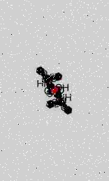 O=S(=O)(O)c1cc(Nc2nc(SOc3ccccc3)cc(SOc3ccccc3)n2)ccc1/C=C/c1ccc(Nc2nc(SOc3ccccc3)cc(SOc3ccccc3)n2)cc1S(=O)(=O)O